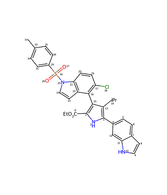 CCOC(=O)c1[nH]c(-c2ccc3cc[nH]c3c2)c(C(C)C)c1-c1c(Cl)ccc2c1ccn2S(=O)(=O)c1ccc(C)cc1